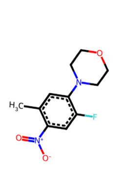 Cc1cc(N2CCOCC2)c(F)cc1[N+](=O)[O-]